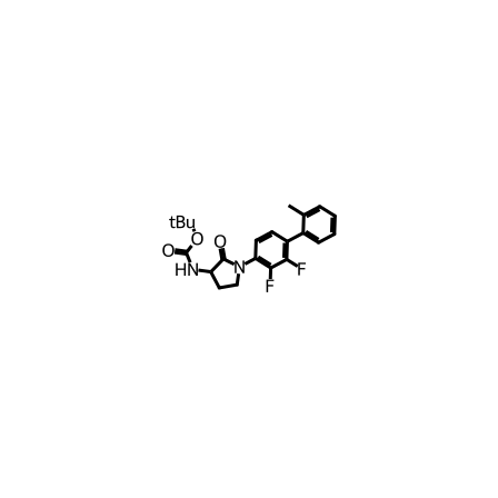 Cc1ccccc1-c1ccc(N2CCC(NC(=O)OC(C)(C)C)C2=O)c(F)c1F